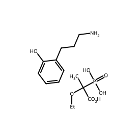 CCOC(C)(C(=O)O)P(=O)(O)O.NCCCc1ccccc1O